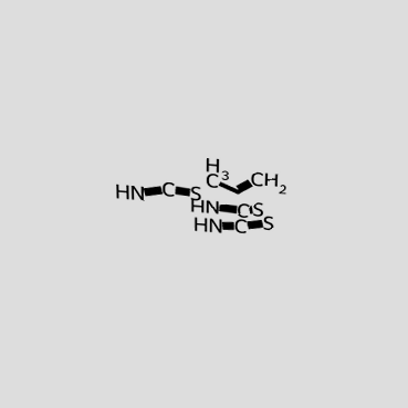 C=CC.N=C=S.N=C=S.N=C=S